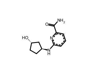 NC(=O)c1[c]ccc(N[C@H]2CC[C@H](O)C2)n1